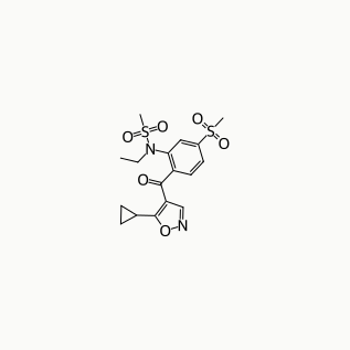 CCN(c1cc(S(C)(=O)=O)ccc1C(=O)c1cnoc1C1CC1)S(C)(=O)=O